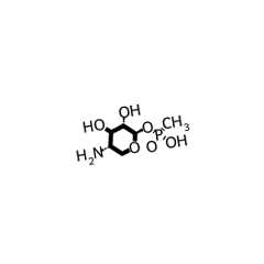 CP(=O)(O)O[C@H]1OC[C@H](N)C(O)[C@@H]1O